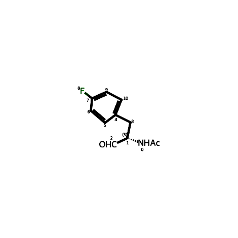 CC(=O)N[C@H](C=O)Cc1ccc(F)cc1